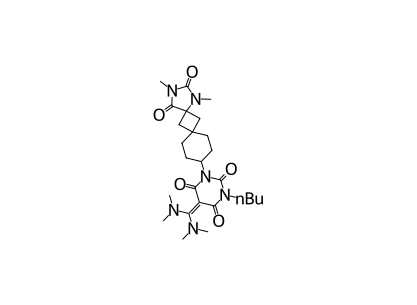 CCCCN1C(=O)C(=C(N(C)C)N(C)C)C(=O)N(C2CCC3(CC2)CC2(C3)C(=O)N(C)C(=O)N2C)C1=O